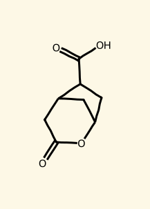 O=C1CC2CC(CC2C(=O)O)O1